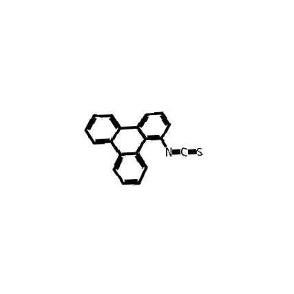 S=C=Nc1cccc2c3ccccc3c3ccccc3c12